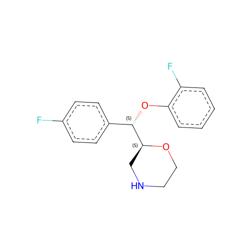 Fc1ccc([C@H](Oc2ccccc2F)[C@@H]2CNCCO2)cc1